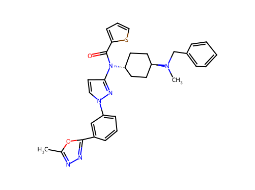 Cc1nnc(-c2cccc(-n3ccc(N(C(=O)c4cccs4)[C@H]4CC[C@H](N(C)Cc5ccccc5)CC4)n3)c2)o1